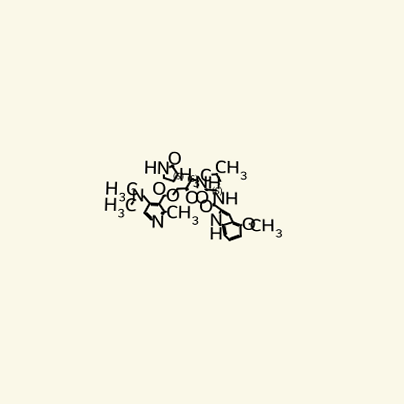 COc1cccc2[nH]c(C(=O)N[C@@H](CC(C)C)C(=O)N[C@@H](C[C@@H]3CCNC3=O)C(=O)COC(=O)c3c(CN(C)C)ccnc3C)cc12